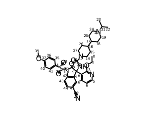 CCOc1ncccc1C1(NC(=O)N2CCC(C3CCN(C(C)C)CC3)CC2)C(=O)N(S(=O)(=O)c2ccc(OC)cc2)c2ccc(C#N)cc21